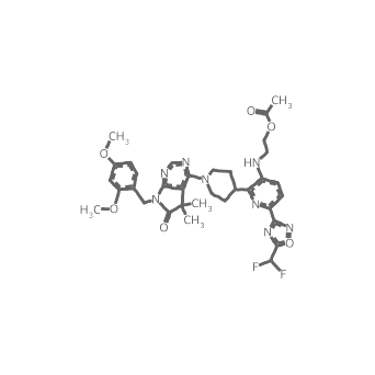 COc1ccc(CN2C(=O)C(C)(C)c3c(N4CCC(c5nc(-c6noc(C(F)F)n6)ccc5NCCOC(C)=O)CC4)ncnc32)c(OC)c1